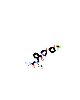 CN(CC(N)=O)Cc1ccccc1C(=O)N1CCC(Oc2cccc(OC(F)(F)F)c2)CC1